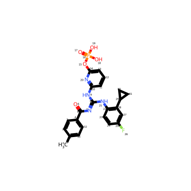 Cc1ccc(C(=O)/N=C(\Nc2cccc(OP(=O)(O)O)n2)Nc2ccc(F)cc2C2CC2)cc1